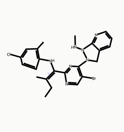 CC/C(C)=C(/Nc1ccc(Cl)cc1C)c1ncc(Br)c(N2Cc3cccnc3N2NC)n1